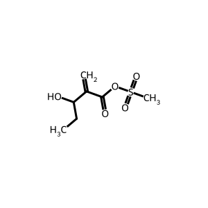 C=C(C(=O)OS(C)(=O)=O)C(O)CC